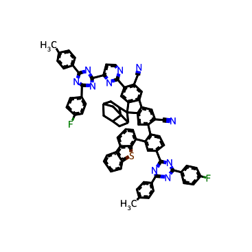 Cc1ccc(-c2nc(-c3ccc(F)cc3)nc(-c3ccc(-c4cc5c(cc4C#N)-c4cc(C#N)c(-c6nccc(-c7nc(-c8ccc(C)cc8)nc(-c8ccc(F)cc8)n7)n6)cc4C54C5CC6CC(C5)CC4C6)c(-c4cccc5c4sc4ccccc45)c3)n2)cc1